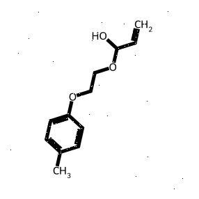 C=CC(O)OCCOc1ccc(C)cc1